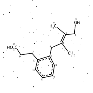 C/C(CO)=C(/C)Cc1ccccc1CCC(=O)O